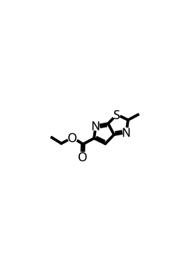 CCOC(=O)C1=CC2=NC(C)SC2=N1